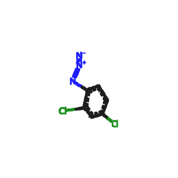 [N-]=[N+]=Nc1ccc(Cl)[c]c1Cl